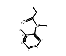 CCC(=O)N(C)c1ccccc1C